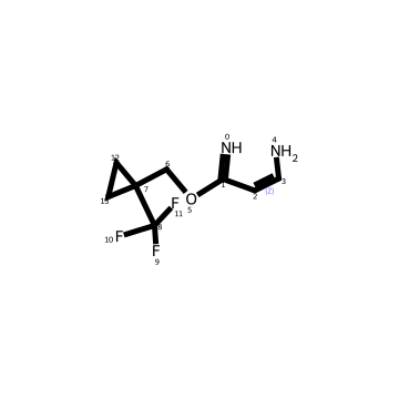 N=C(/C=C\N)OCC1(C(F)(F)F)CC1